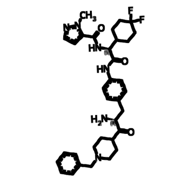 Cn1nccc1C(=O)N[C@H](C(=O)Nc1ccc(C[C@@H](N)C(=O)C2CCN(Cc3ccccc3)CC2)cc1)C1CCC(F)(F)CC1